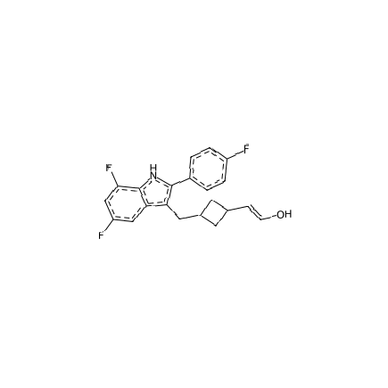 O/C=C/C1CC(Cc2c(-c3ccc(F)cc3)[nH]c3c(F)cc(F)cc23)C1